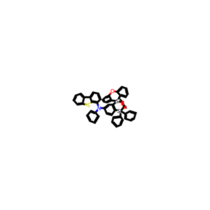 c1ccc(N(c2ccc3c(c2)[Si]2(c4ccccc4Oc4ccccc42)c2ccccc2[Si]3(c2ccccc2)c2ccccc2)c2cccc3c2sc2ccccc23)cc1